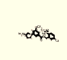 CCS(=O)(=O)c1ccc(Cl)cc1CNC(=O)c1cc(OC(F)(F)F)cc(N2CC[C@@H](N)C2)c1